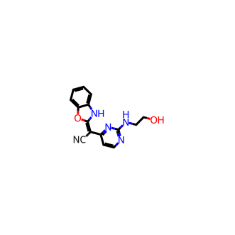 N#CC(=C1Nc2ccccc2O1)c1ccnc(NCCO)n1